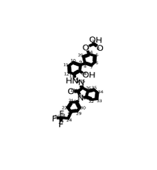 O=C(O)Oc1cccc(-c2cccc(NN=C3C(=O)N(c4ccc(CC(F)(F)F)cc4)c4ccccc43)c2O)c1